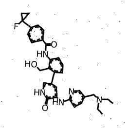 CCN(CC)Cc1ccc(Nc2cc(-c3cccc(NC(=O)c4ccc(C5(F)CC5)cc4)c3CO)c[nH]c2=O)nc1